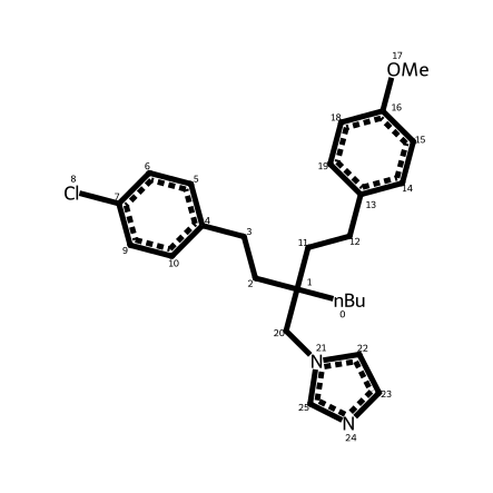 CCCCC(CCc1ccc(Cl)cc1)(CCc1ccc(OC)cc1)Cn1ccnc1